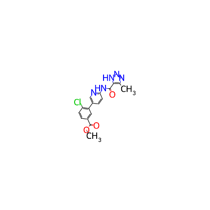 COC(=O)c1ccc(Cl)c(-c2ccc(NC(=O)c3[nH]nnc3C)nc2)c1